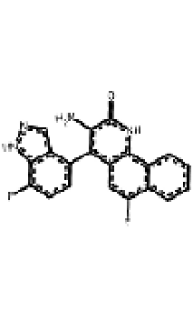 Nc1c(-c2ccc(F)c3[nH]ncc23)c2cc(F)c3ccccc3c2[nH]c1=O